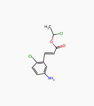 CC(Cl)OC(=O)C=Cc1cc(N)ccc1Cl